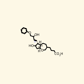 O=C(O)CCCC1CC[C@@H]2[C@@H](/C=C/C(O)COc3ccccc3)[C@H](O)C[C@@H]2OC1